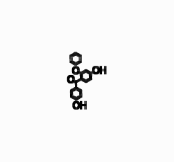 O=C(c1ccc(O)cc1)c1ccc(O)cc1Oc1ccccc1